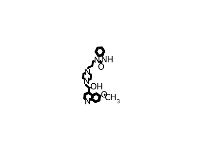 COc1ccc2nccc([C@H](O)CN3CCN(CCCn4c(=O)[nH]c5ccccc54)CC3)c2c1